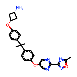 Cc1nc(-c2ncc(Oc3ccc(C(C)(C)c4ccc(O[C@H]5C[C@@H](N)C5)cc4)cc3)cn2)no1